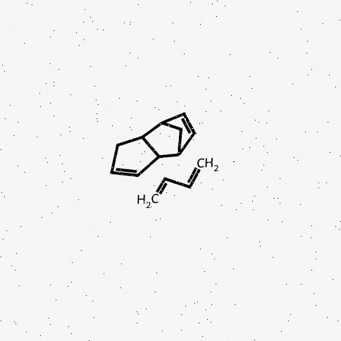 C1=CC2C3C=CC(C3)C2C1.C=CC=C